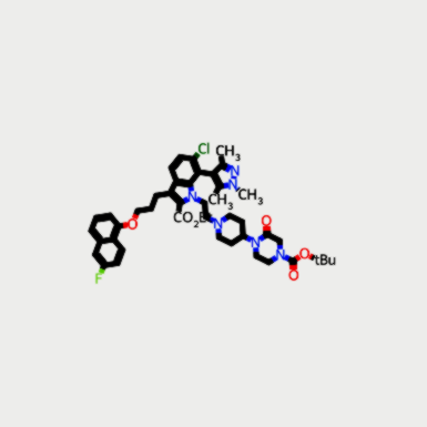 CCOC(=O)c1c(CCCOc2cccc3cc(F)ccc23)c2ccc(Cl)c(-c3c(C)nn(C)c3C)c2n1CCN1CCC(N2CCN(C(=O)OC(C)(C)C)CC2=O)CC1